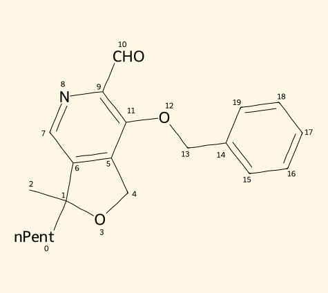 CCCCCC1(C)OCc2c1cnc(C=O)c2OCc1ccccc1